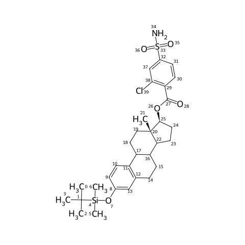 CC(C)(C)[Si](C)(C)Oc1ccc2c(c1)CCC1C2CC[C@@]2(C)C1CC[C@@H]2OC(=O)c1ccc(S(N)(=O)=O)cc1Cl